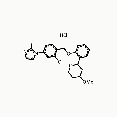 COC1CCOC(c2ccccc2OCc2ccc(-n3ccnc3C)cc2Cl)C1.Cl